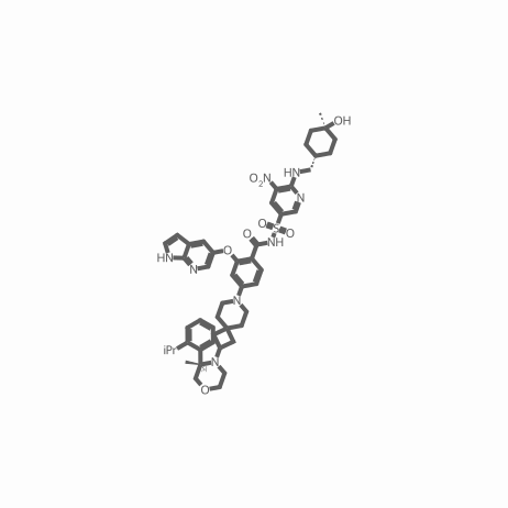 CC(C)c1ccccc1[C@@]1(C)COCCN1C1CC2(CCN(c3ccc(C(=O)NS(=O)(=O)c4cnc(NC[C@H]5CC[C@](C)(O)CC5)c([N+](=O)[O-])c4)c(Oc4cnc5[nH]ccc5c4)c3)CC2)C1